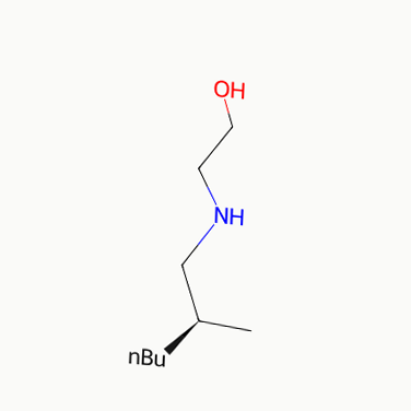 CCCC[C@H](C)CNCCO